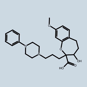 COc1ccc2c(c1)OC(CCCN1CCN(c3ccccc3)CC1)(C(=O)O)C(O)CC2